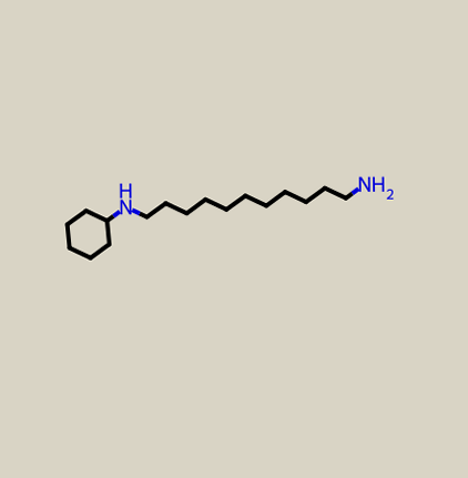 NCCCCCCCCCCCNC1CCCCC1